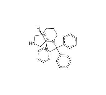 c1ccc(C(c2ccccc2)(c2ccccc2)N2CCC[C@H]3CNC[C@H]32)cc1